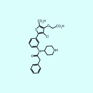 O=C(O)COc1c(C(=O)O)sc(-c2cccc(N(C(=O)Cc3ccccc3)C3CCNCC3)c2)c1Cl